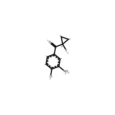 O=C(c1ccc(Cl)c([N+](=O)[O-])c1)C1(F)CC1